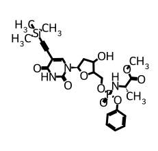 COC(=O)[C@H](C)NP(=O)(OCC1O[C@@H](n2cc(C#C[Si](C)(C)C)c(=O)[nH]c2=O)CC1O)Oc1ccccc1